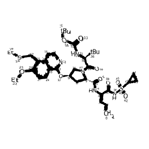 C=C/C=C(/NC(=O)[C@@H]1C[C@@H](Oc2nccc3c(CSCC)c(OCC)ccc23)CN1C(=O)[C@@H](NC(=O)OC(C)(C)C)C(C)(C)C)C(=O)NS(=O)(=O)C1CC1